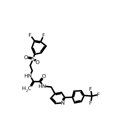 C=C(NCCS(=O)(=O)c1ccc(F)c(F)c1)C(=O)NCc1ccnc(-c2ccc(C(F)(F)F)cc2)c1